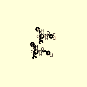 CCC(CC)CN1CC[C@@H](CNC(=O)C=Cc2ccc(Cl)cc2)N[C@@H](CCN2CCCCC2)C1=O.CCC(CC)CN1CC[C@@H](CNC(=O)c2ccc(Cl)c(Cl)c2)N[C@@H](CCN2CCCCC2)C1=O